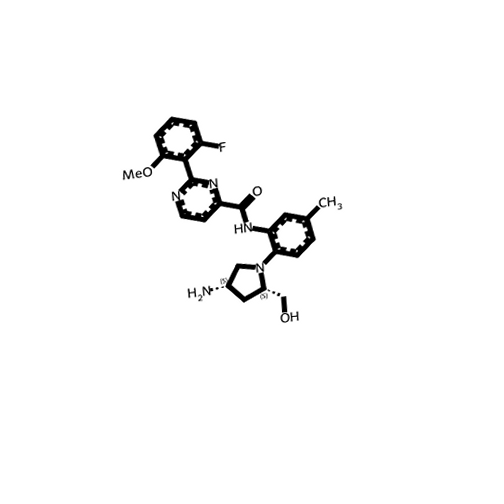 COc1cccc(F)c1-c1nccc(C(=O)Nc2cc(C)ccc2N2C[C@@H](N)C[C@H]2CO)n1